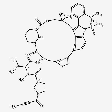 CC#CC(=O)N1CC[C@H](C(=O)N(C)[C@H](C(=O)N[C@H]2Cc3nc(cs3)-c3ccc4c(c3)c(c(-c3cccnc3C(C)C)n4S(C)(=O)=O)CC(C)(C)COC(=O)[C@@H]3CCCN(N3)C2=O)C(C)C)C1